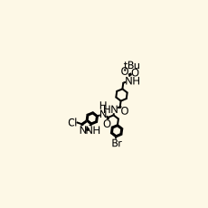 CC(C)(C)OC(=O)NCC1CCC(C(=O)NC(Cc2ccc(Br)cc2)C(=O)Nc2ccc3c(Cl)n[nH]c3c2)CC1